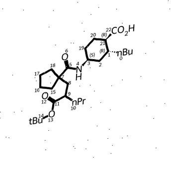 CCCC[C@@H]1C[C@@H](NC(=O)C2(CC(CCC)C(=O)OC(C)(C)C)CCCC2)CC[C@H]1C(=O)O